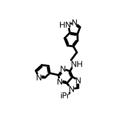 CC(C)n1cnc2c(NCCc3ccc4[nH]ncc4c3)nc(-c3cccnc3)nc21